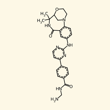 CC1(C)NC(=O)c2cc(Nc3nccc(-c4ccc(C(=O)NCN)cc4)n3)ccc2N2CCOC1C2